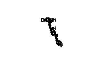 FC1CCN(CCCOc2ccc(SNCCCc3c[nH]c4ccc(Cl)cc34)cc2)CC1